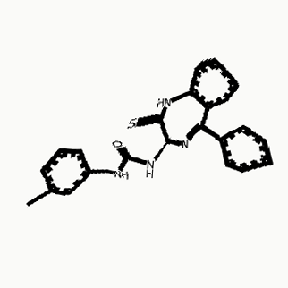 Cc1cccc(NC(=O)N[C@@H]2N=C(c3ccccc3)c3ccccc3NC2=S)c1